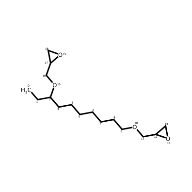 CCC(CCCCCCCOCC1CO1)OCC1CO1